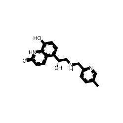 [CH2]c1ccc(CNC[C@H](O)c2ccc(O)c3[nH]c(=O)ccc23)nc1